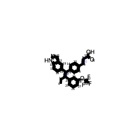 CC/C(=C(/c1ccc(/C=C/C(=O)O)cc1)c1ccc2[nH]ncc2c1)c1cccc(OC(F)(F)F)c1